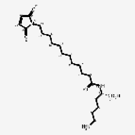 NCCCC[C@H](NC(=O)CCCCCCCCCCCN1C(=O)C=CC1=O)C(=O)O